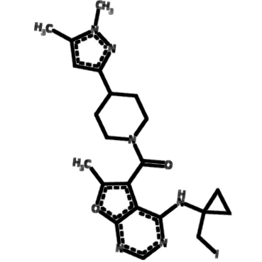 Cc1oc2ncnc(NC3(CI)CC3)c2c1C(=O)N1CCC(c2cc(C)n(C)n2)CC1